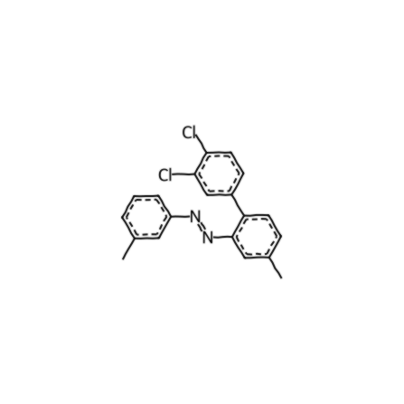 Cc1cccc(N=Nc2cc(C)ccc2-c2ccc(Cl)c(Cl)c2)c1